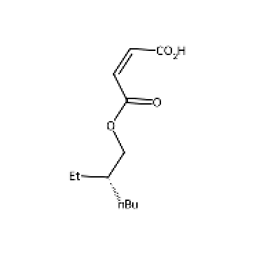 CCCC[C@H](CC)COC(=O)/C=C\C(=O)O